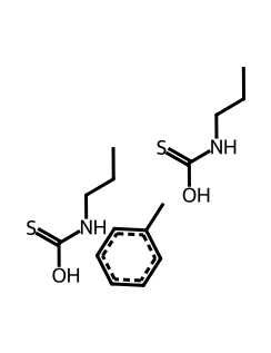 CCCNC(O)=S.CCCNC(O)=S.Cc1ccccc1